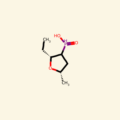 CC[C@H]1O[C@@H](C)CC1[PH](=O)O